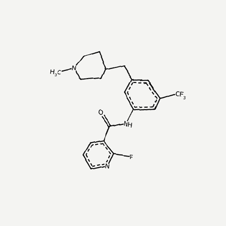 CN1CCC(Cc2cc(NC(=O)c3cccnc3F)cc(C(F)(F)F)c2)CC1